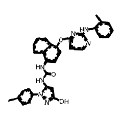 Cc1ccc(-n2nc(O)cc2NC(=O)Nc2ccc(Oc3ccnc(Nc4ccccc4C)n3)c3ccccc23)cc1